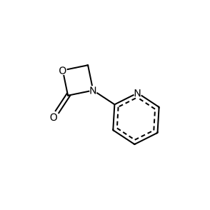 O=C1OCN1c1ccccn1